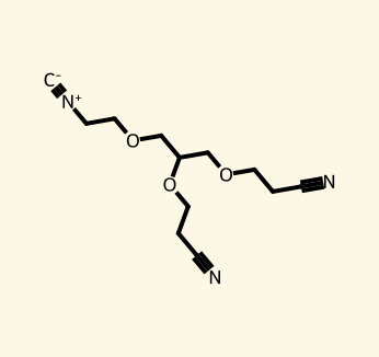 [C-]#[N+]CCOCC(COCCC#N)OCCC#N